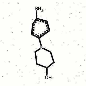 Bc1ccc(N2CCC(O)CC2)cc1